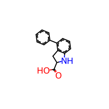 O=C(O)C1Cc2c(cccc2-c2ccccc2)N1